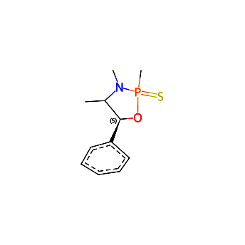 CC1[C@H](c2ccccc2)OP(C)(=S)N1C